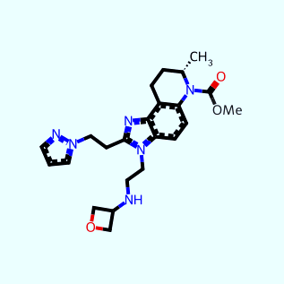 COC(=O)N1c2ccc3c(nc(CCn4cccn4)n3CCNC3COC3)c2CC[C@@H]1C